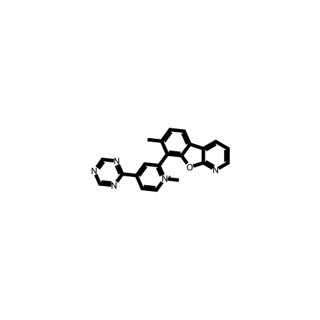 Cc1ccc2c(oc3ncccc32)c1-c1cc(-c2ncncn2)cc[n+]1C